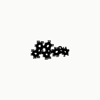 c1ccc2c(c1)oc1cc(-n3c4ccccc4c4c(-n5c6ccccc6c6ccccc65)cccc43)ccc12